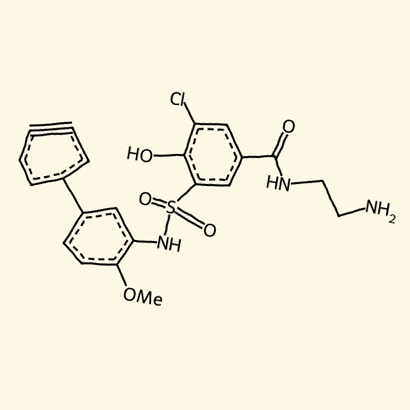 COc1ccc(-c2cc#ccc2)cc1NS(=O)(=O)c1cc(C(=O)NCCN)cc(Cl)c1O